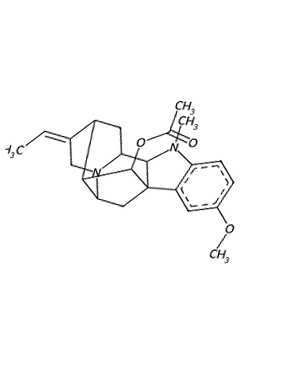 C/C=C1\CN2C3CC45c6cc(OC)ccc6N(C)C4C2CC1C3C5OC(C)=O